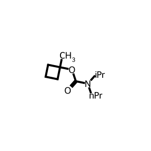 CCCN(C(=O)OC1(C)CCC1)C(C)C